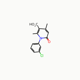 Cc1cc(=O)n(-c2cccc(Cl)c2)c(C)c1C(=O)O